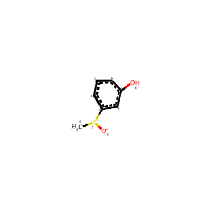 C[S+]([O-])c1[c]ccc(O)c1